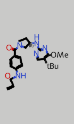 C=CC(=O)Nc1ccc(C(=O)N2CC[C@@H](Nc3ncc(C(C)(C)C)c(OC)n3)C2)cc1